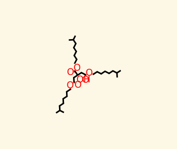 CC(C)CCCCCCOC(=O)CC(O)(CC(=O)OCCCCCCC(C)C)C(=O)OCCCCCCC(C)C